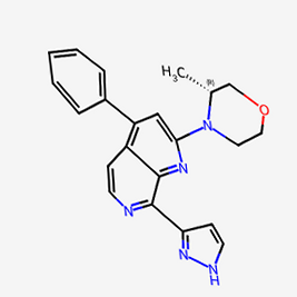 C[C@@H]1COCCN1c1cc(-c2ccccc2)c2ccnc(-c3cc[nH]n3)c2n1